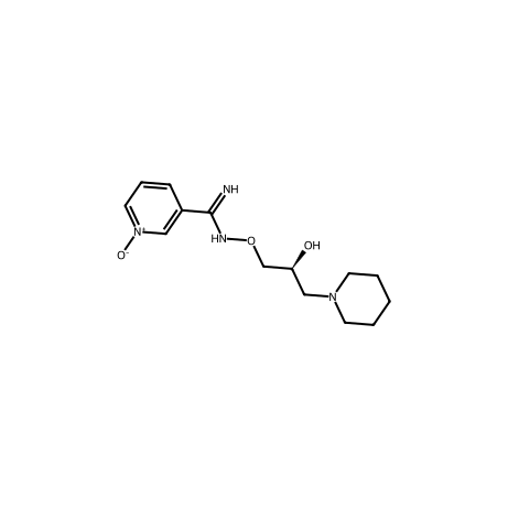 N=C(NOC[C@@H](O)CN1CCCCC1)c1ccc[n+]([O-])c1